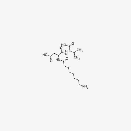 CC(C)[C@H](NC(=O)[C@H](CC(=O)O)NC(=O)CCCCCCCN)C(=O)O